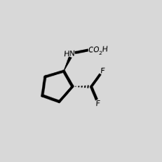 O=C(O)N[C@@H]1CCC[C@H]1C(F)F